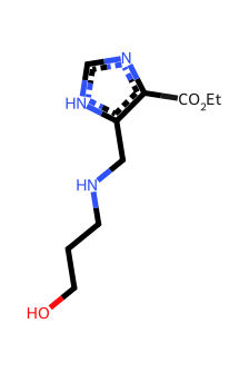 CCOC(=O)c1nc[nH]c1CNCCCO